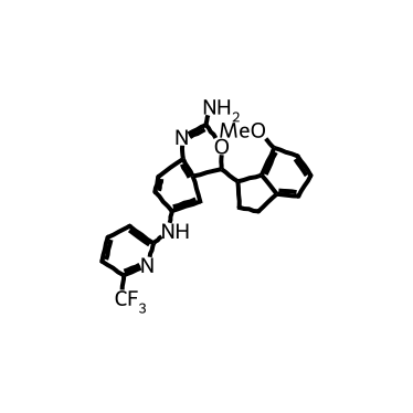 COc1cccc2c1C(C1OC(N)=Nc3ccc(Nc4cccc(C(F)(F)F)n4)cc31)CC2